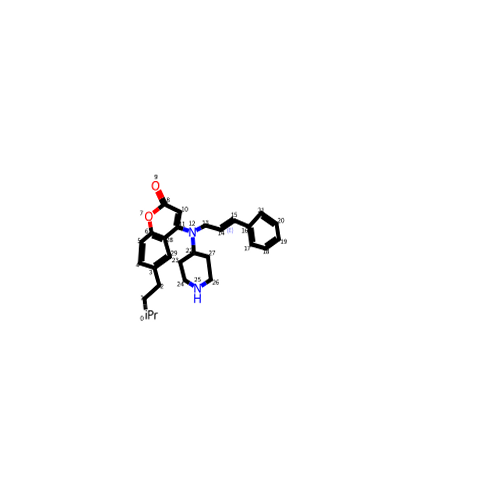 CC(C)CCc1ccc2oc(=O)cc(N(C/C=C/c3ccccc3)C3CCNCC3)c2c1